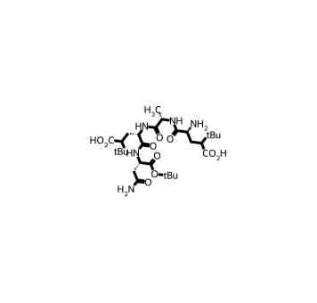 C[C@H](NC(=O)[C@@H](N)CC(C(=O)O)C(C)(C)C)C(=O)N[C@@H](CC(C(=O)O)C(C)(C)C)C(=O)N[C@@H](CC(N)=O)C(=O)OC(C)(C)C